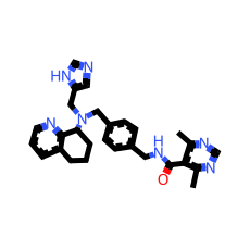 Cc1ncnc(C)c1C(=O)NCc1ccc(CN(Cc2cnc[nH]2)C2CCCc3cccnc32)cc1